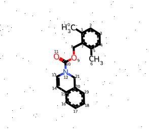 Cc1cccc(C)c1COC(=O)N1C=Cc2ccccc2C1